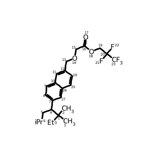 CCC(C)(C)C(CC(C)C)c1ccc2cc(COCC(=O)OCC(F)(F)C(F)(F)F)ccc2c1